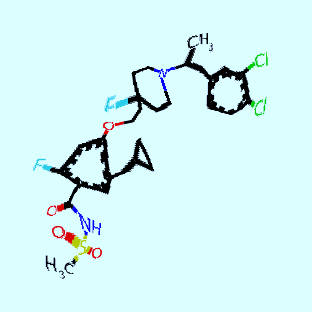 CC(c1ccc(Cl)c(Cl)c1)N1CCC(F)(COc2cc(F)c(C(=O)NS(C)(=O)=O)cc2C2CC2)CC1